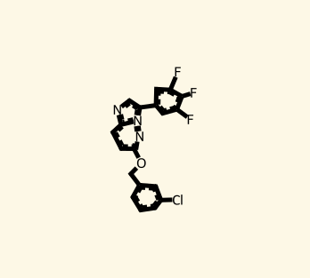 Fc1cc(-c2cnc3ccc(OCc4cccc(Cl)c4)nn23)cc(F)c1F